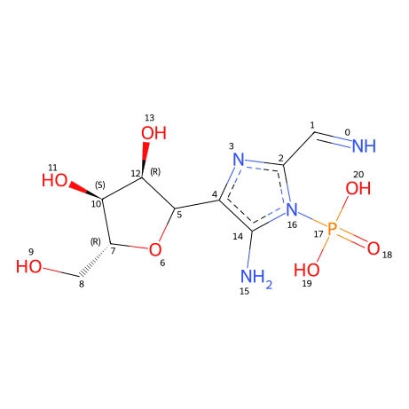 N=Cc1nc(C2O[C@H](CO)[C@@H](O)[C@H]2O)c(N)n1P(=O)(O)O